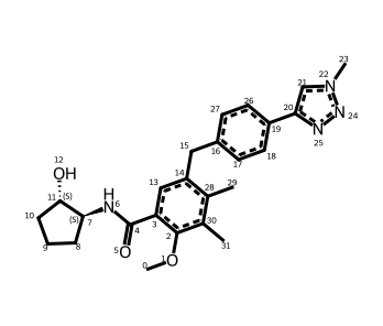 COc1c(C(=O)N[C@H]2CCC[C@@H]2O)cc(Cc2ccc(-c3cn(C)nn3)cc2)c(C)c1C